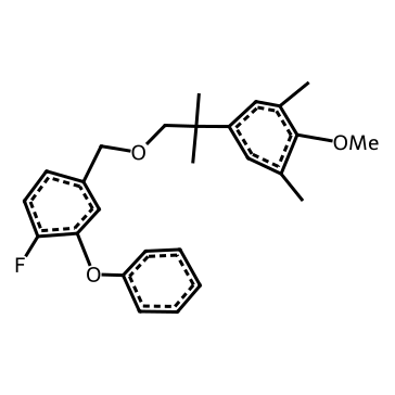 COc1c(C)cc(C(C)(C)COCc2ccc(F)c(Oc3ccccc3)c2)cc1C